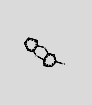 Cc1ccc2c(c1)Oc1ccccc1N2